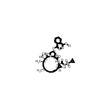 CCOc1nnc(O[C@@H]2C[C@H]3C(=O)N[C@]4(C(=O)NS(=O)(=O)C5CC5)C[C@H]4C=CCC[C@H](C)C[C@@H](C)[C@H](NC(=O)O)C(=O)N3C2)c2ccccc12